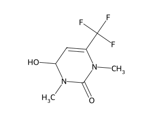 CN1C(=O)N(C)C(O)C=C1C(F)(F)F